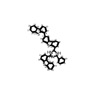 c1ccc(C2NC(c3cccc4c3sc3ccc(-c5cccc6c5sc5ccccc56)cc34)NC(c3cccc4sc5ccccc5c34)N2)cc1